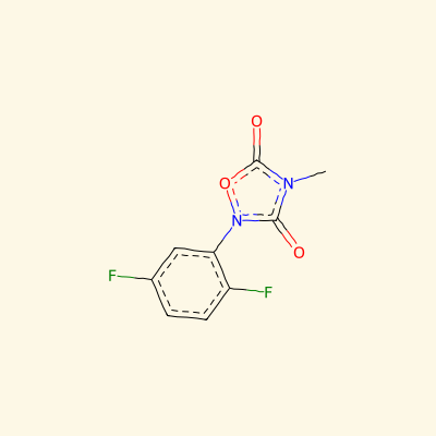 Cn1c(=O)on(-c2cc(F)ccc2F)c1=O